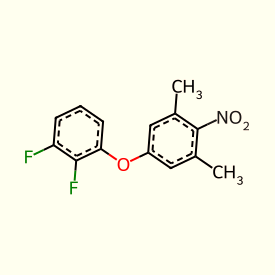 Cc1cc(Oc2cccc(F)c2F)cc(C)c1[N+](=O)[O-]